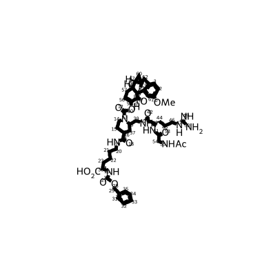 COc1ccc2c3c1O[C@H]1C(OC(=O)N4CCC(C(=O)NCCCC[C@H](NC(=O)OCc5ccccc5)C(=O)O)CC4CNC(=O)[C@H](CCCNC(=N)N)NC(=O)CNC(C)=O)=CC[C@H]4[C@@H]5CC5(C2)C[C@]314